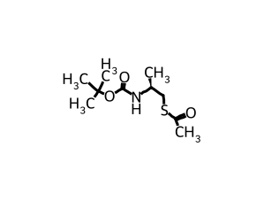 CC(=O)SC[C@H](C)NC(=O)OC(C)(C)C